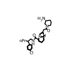 CCCC(CNC(=O)c1cccc2nc(CC(=O)N3CCC[C@@H](N)C3)cn12)c1ccc(Cl)cc1